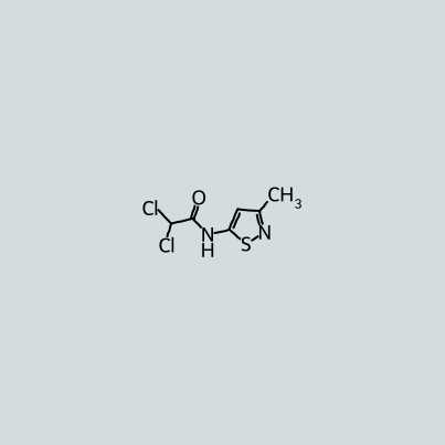 Cc1cc(NC(=O)C(Cl)Cl)sn1